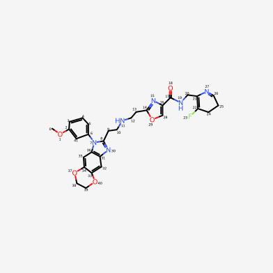 COc1cccc(-n2c(CCNCCc3nc(C(=O)NCC4=C(F)CCC=N4)co3)nc3cc4c(cc32)OCCO4)c1